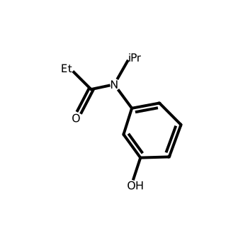 CCC(=O)N(c1cccc(O)c1)C(C)C